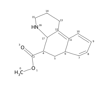 COC(=O)C1CC2C=CC=CC2=C2CCCNC21